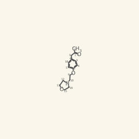 CC(=O)Cc1ccc(OCCN2CCOCC2)cc1